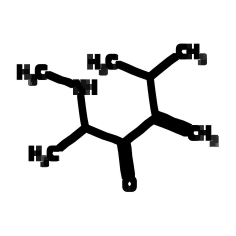 C=C(C(=O)C(C)NC)C(C)C